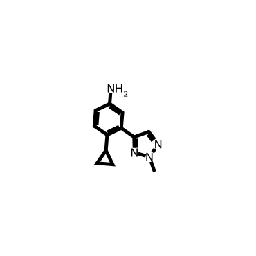 Cn1ncc(-c2cc(N)ccc2C2CC2)n1